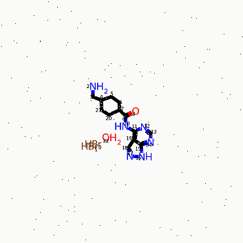 Br.Br.NCC1CCC(C(=O)Nc2ncnc3[nH]ncc23)CC1.O